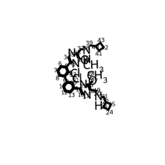 COc1nc(-c2cccc(-c3cccc(-c4cnc(CNCC5CCC5)c(OC)n4)c3Cl)c2Cl)cnc1CNCC1CCC1